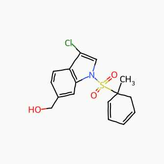 CC1(S(=O)(=O)n2cc(Cl)c3ccc(CO)cc32)C=CC=CC1